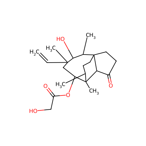 C=CC1(C)CC(OC(=O)CO)C2(C)C(C)CCC3(CCC(=O)C32)C(C)C1O